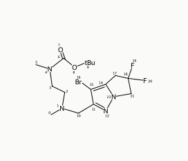 CN(CCN(C)C(=O)OC(C)(C)C)Cc1nn2c(c1Br)CC(F)(F)C2